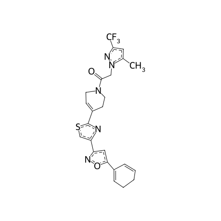 Cc1cc(C(F)(F)F)nn1CC(=O)N1CC=C(c2nc(-c3cc(C4=CCCC=C4)on3)cs2)CC1